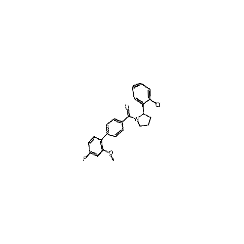 COc1cc(F)ccc1-c1ccc(C(=O)N2CCC[C@@H]2c2ccccc2Cl)cc1